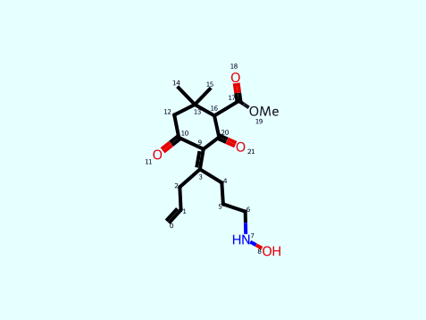 C=CCC(CCCNO)=C1C(=O)CC(C)(C)C(C(=O)OC)C1=O